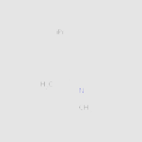 C=C1C(CC(C)C)CCCN1C